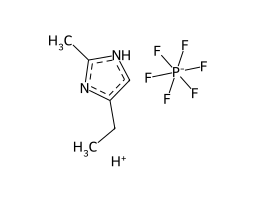 CCc1c[nH]c(C)n1.F[P-](F)(F)(F)(F)F.[H+]